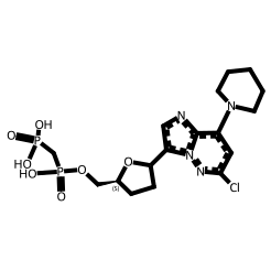 O=P(O)(O)CP(=O)(O)OC[C@@H]1CCC(c2cnc3c(N4CCCCC4)cc(Cl)nn23)O1